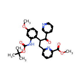 COC(=O)c1cccc(CC(C(=O)c2cccnc2)c2ccc(OC)cc2NC(=O)OC(C)(C)C)n1